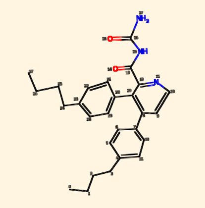 CCCCc1ccc(-c2ccnc(C(=O)NC(N)=O)c2-c2ccc(CCCC)cc2)cc1